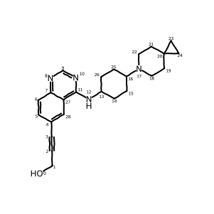 OCC#Cc1ccc2ncnc(NC3CCC(N4CCC5(CC4)CC5)CC3)c2c1